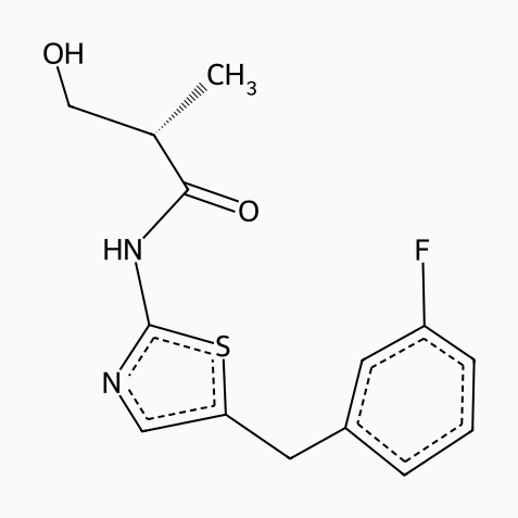 C[C@@H](CO)C(=O)Nc1ncc(Cc2cccc(F)c2)s1